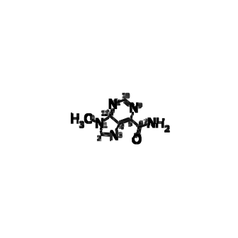 Cn1cnc2c(C(N)=O)ncnc21